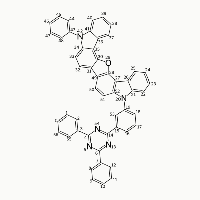 c1ccc(-c2nc(-c3ccccc3)nc(-c3cccc(-n4c5ccccc5c5c6oc7c(ccc8c7c7ccccc7n8-c7ccccc7)c6ccc54)c3)n2)cc1